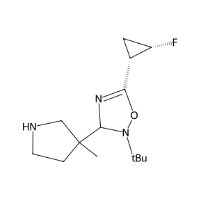 CC1(C2N=C([C@@H]3C[C@@H]3F)ON2C(C)(C)C)CCNC1